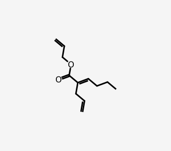 C=CCOC(=O)C(=CCCC)CC=C